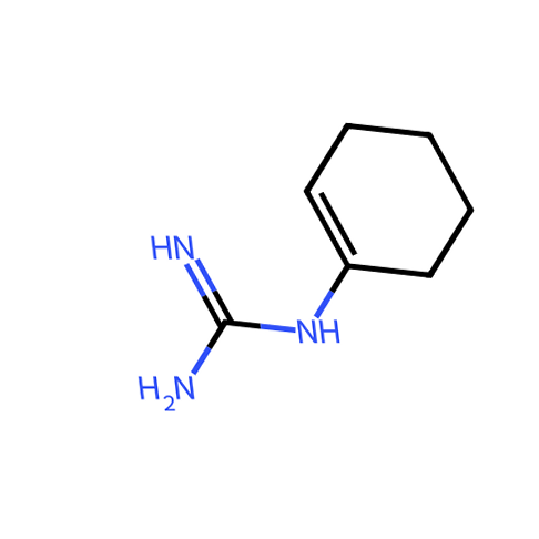 N=C(N)NC1=CCCCC1